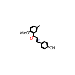 COc1ccc(C)cc1C(=O)/C=C/c1ccc(C#N)cc1